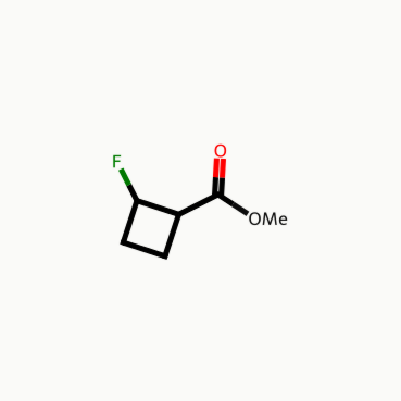 COC(=O)C1CCC1F